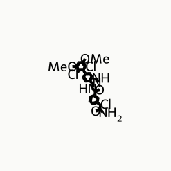 COc1cc(OC)c(Cl)c(-c2ccc3c(NC(=O)c4cccc(C(Cl)C(N)=O)c4)n[nH]c3c2)c1Cl